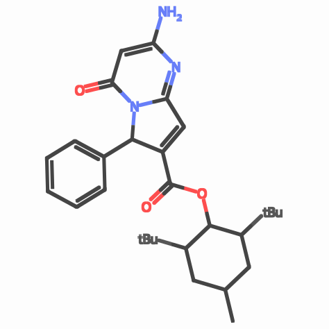 CC1CC(C(C)(C)C)C(OC(=O)C2=Cc3nc(N)cc(=O)n3C2c2ccccc2)C(C(C)(C)C)C1